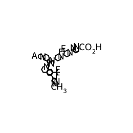 CC(=O)N1CCc2c(c(N3CCCc4cc(-c5cnn(C)c5)c(C(F)F)cc43)nn2C2CCN(C3CCN(c4ccc(C(=O)O)nn4)CC3(F)F)CC2)C1